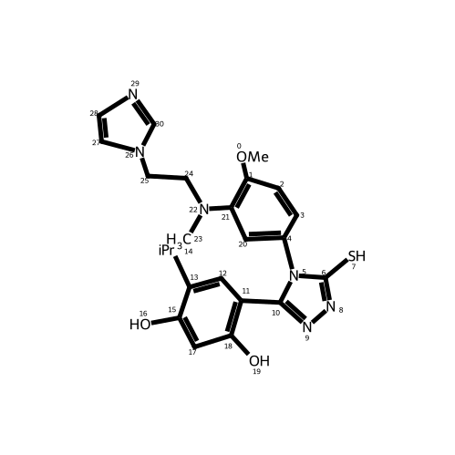 COc1ccc(-n2c(S)nnc2-c2cc(C(C)C)c(O)cc2O)cc1N(C)CCn1ccnc1